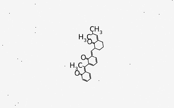 C/C(C1=CC=C/C(=C\C2CCC/C(=C/C(C)C)C2=O)C1=O)=C1/C=CC=CC1=O